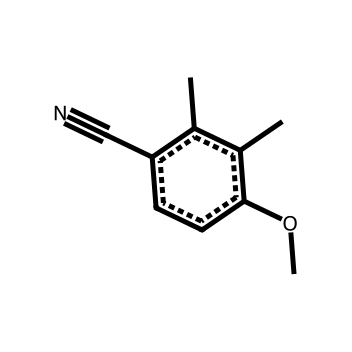 COc1ccc(C#N)c(C)c1C